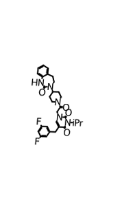 CC(C)n1c(=O)c(Cc2cc(F)cc(F)c2)cn(CC(=O)N2CCC(N3CCc4ccccc4NC3=O)CC2)c1=O